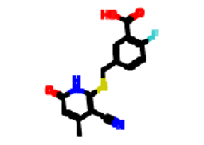 Cc1cc(=O)[nH]c(SCc2ccc(F)c(C(=O)O)c2)c1C#N